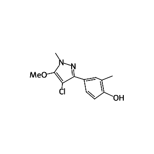 COc1c(Cl)c(-c2ccc(O)c(C)c2)nn1C